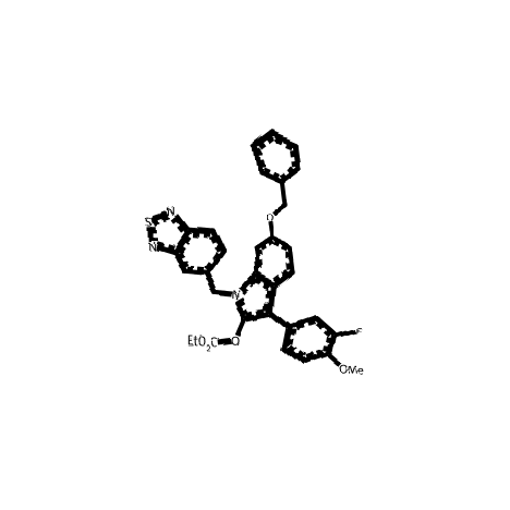 CCOC(=O)Oc1c(-c2ccc(OC)c(F)c2)c2ccc(OCc3ccccc3)cc2n1Cc1ccc2nsnc2c1